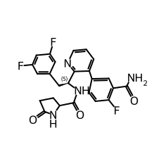 NC(=O)c1cc(-c2cccnc2[C@H](Cc2cc(F)cc(F)c2)NC(=O)C2CCC(=O)N2)ccc1F